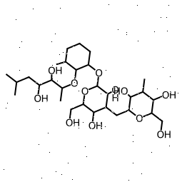 CC(C)CC(O)C(O)C(C)OC1C(C)CCCC1OC1OC(CO)C(O)C(CC2OC(CO)C(O)C(C)C2O)C1O